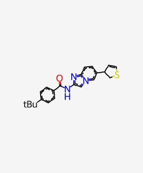 CC(C)(C)c1ccc(C(=O)Nc2cn3cc(C4C=CSC4)ccc3n2)cc1